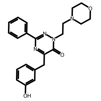 O=c1c(Cc2cccc(O)c2)nc(-c2ccccc2)nn1CCN1CCOCC1